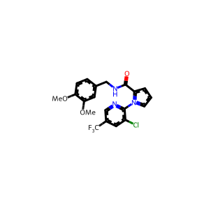 COc1ccc(CNC(=O)c2cccn2-c2ncc(C(F)(F)F)cc2Cl)cc1OC